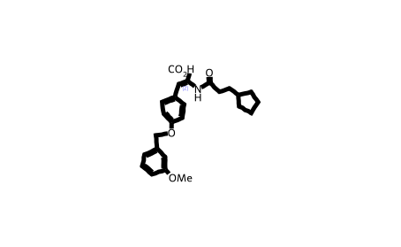 COc1cccc(COc2ccc(/C=C(\NC(=O)CCC3CCCC3)C(=O)O)cc2)c1